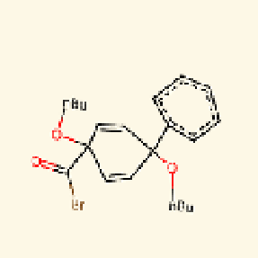 CCCCOC1(C(=O)Br)C=CC(OCCCC)(c2ccccc2)C=C1